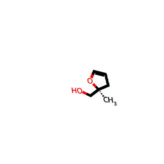 C[C@@]1(CO)CC=CO1